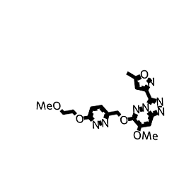 COCCOc1ccc(COc2nn3c(-c4cc(C)on4)nnc3cc2OC)nn1